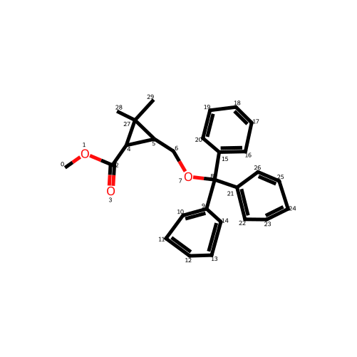 COC(=O)C1C(COC(c2ccccc2)(c2ccccc2)c2ccccc2)C1(C)C